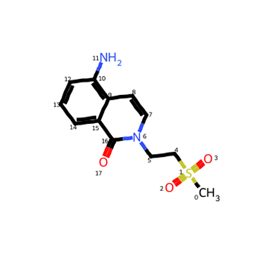 CS(=O)(=O)CCn1ccc2c(N)cccc2c1=O